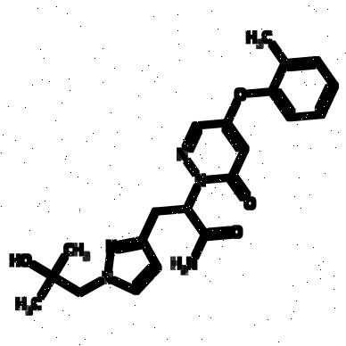 Cc1ccccc1Oc1cnn(C(Cc2ccn(CC(C)(C)O)n2)C(N)=O)c(=O)c1